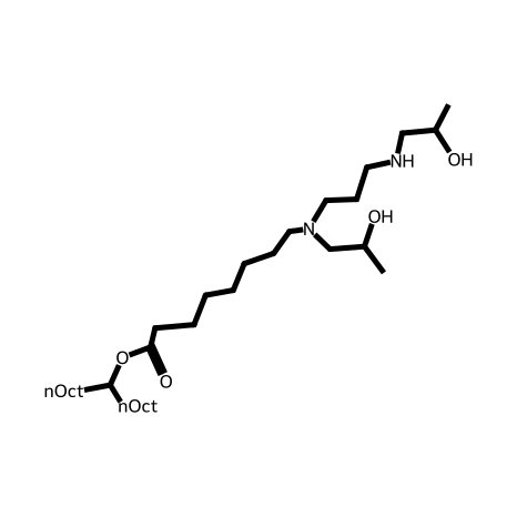 CCCCCCCCC(CCCCCCCC)OC(=O)CCCCCCCN(CCCNCC(C)O)CC(C)O